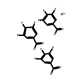 O=C([O-])c1cc(F)c(F)c(F)c1.O=C([O-])c1cc(F)c(F)c(F)c1.O=C([O-])c1cc(F)c(F)c(F)c1.[Bi+3]